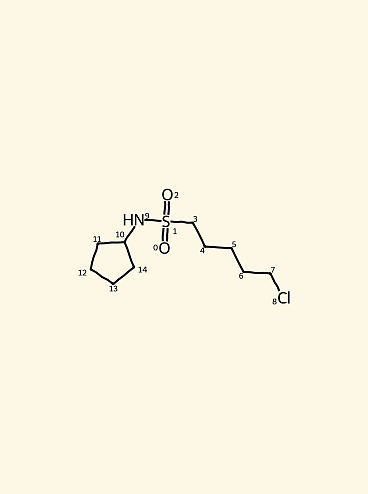 O=S(=O)(CCCCCCl)NC1CCCC1